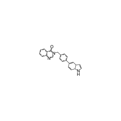 O=c1c2ccccc2ncn1Cc1ccc(C2=CC3C=CNC3C=C2)cc1